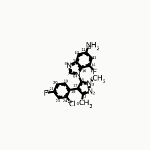 Cc1nn(C)c(-n2cnc3cc(N)cc(F)c32)c1-c1ccc(F)cc1Cl